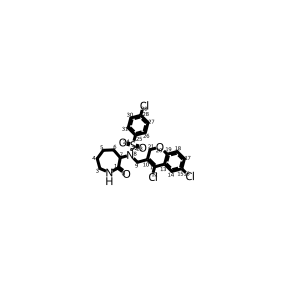 O=C1NCCCCC1N(CC1=C(Cl)c2cc(Cl)ccc2OC1)S(=O)(=O)c1ccc(Cl)cc1